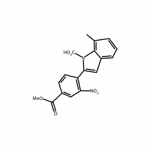 COC(=O)c1ccc(-c2cc3cccc(C)c3n2C(=O)O)c([N+](=O)[O-])c1